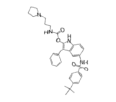 CC(C)(C)c1ccc(S(=O)(=O)Nc2ccc3[nH]c(OC(=O)NCCCN4CCCC4)c(-c4ccccc4)c3c2)cc1